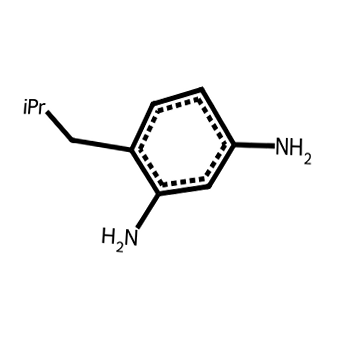 CC(C)Cc1ccc(N)cc1N